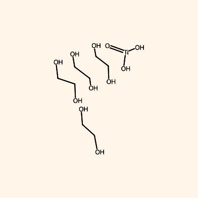 OCCO.OCCO.OCCO.OCCO.[O]=[Ti]([OH])[OH]